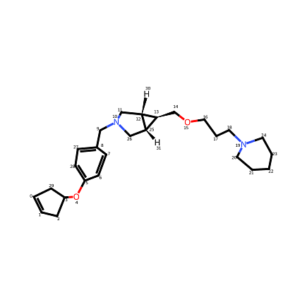 C1=CCC(Oc2ccc(CN3C[C@@H]4[C@@H](COCCCN5CCCCC5)[C@@H]4C3)cc2)C1